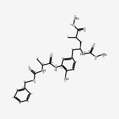 CC(C[C@H](Cc1ccc(O)c(NC(=O)C(C)NC(=O)OCc2ccccc2)c1)NC(=O)OC(C)(C)C)C(=O)OC(C)(C)C